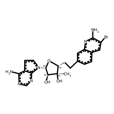 C[C@@]1(O)[C@@H](CCc2ccc3cc(Br)c(N)nc3c2)O[C@@H](n2ccc3c(N)ncnc32)[C@@H]1O